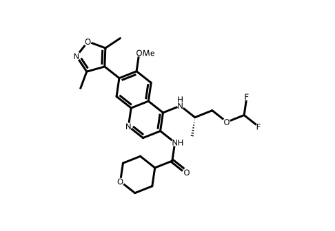 COc1cc2c(N[C@@H](C)COC(F)F)c(NC(=O)C3CCOCC3)cnc2cc1-c1c(C)noc1C